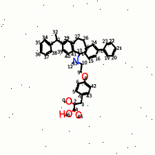 COC(Cc1ccc(OCCN(C)C2c3ccc(-c4ccccc4)cc3CCc3cc(C(C)c4ccccc4)ccc32)cc1)C(=O)O